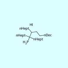 CCCCCCCCCCCCC(CCCCCCC)C(P)(CCCCCCC)CCCCCCC.I